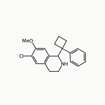 COc1cc2c(cc1Cl)CCNC2C1(c2ccccc2)CCC1